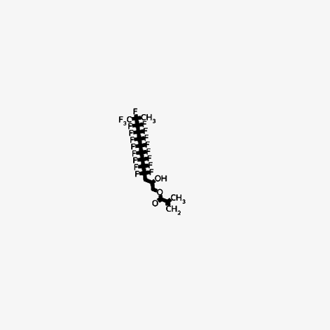 C=C(C)C(=O)OCC(O)CC(F)(F)C(F)(F)C(F)(F)C(F)(F)C(F)(F)C(F)(F)C(F)(F)C(F)(F)C(C)(F)C(F)(F)F